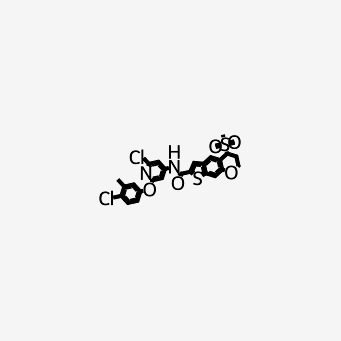 Cc1cc(Oc2cc(NC(=O)c3cc4cc5c(cc4s3)OCCC5S(C)(=O)=O)cc(Cl)n2)ccc1Cl